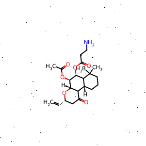 BC1(C)CCC[C@@H]2C3C(=O)C[C@H](C=C)O[C@@H]3[C@@H](OC(C)=O)[C@@H](OC(=O)CCN)C21